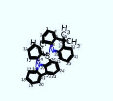 Cc1cccc2c1N(B1c3ccccc3-n3c4ccccc4c4cccc1c43)c1ccccc1C2(C)C